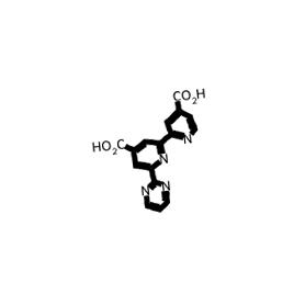 O=C(O)c1ccnc(-c2cc(C(=O)O)cc(-c3ncccn3)n2)c1